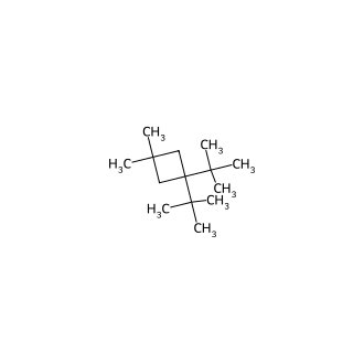 CC1(C)CC(C(C)(C)C)(C(C)(C)C)C1